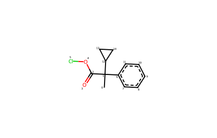 CC(C(=O)OCl)(c1ccccc1)C1CC1